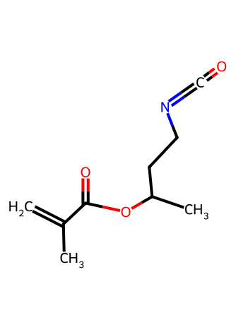 C=C(C)C(=O)OC(C)CCN=C=O